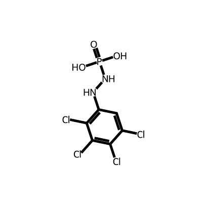 O=P(O)(O)NNc1cc(Cl)c(Cl)c(Cl)c1Cl